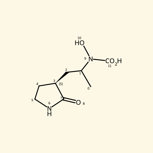 CC(C[C@@H]1CCNC1=O)N(O)C(=O)O